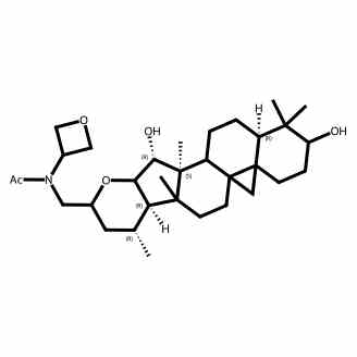 CC(=O)N(CC1C[C@@H](C)[C@H]2C(O1)[C@H](O)[C@@]1(C)C3CC[C@H]4C(C)(C)C(O)CCC45CC35CCC21C)C1COC1